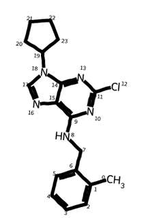 Cc1ccccc1CNc1nc(Cl)nc2c1ncn2C1CCCC1